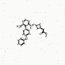 COC(=O)C=C1CC(CNc2ncnc(N)c2-c2ccc(Oc3ccccc3)cc2)C1